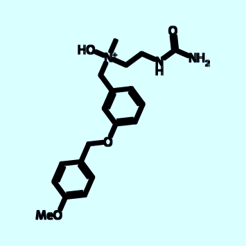 COc1ccc(COc2cccc(C[N+](C)(O)CCNC(N)=O)c2)cc1